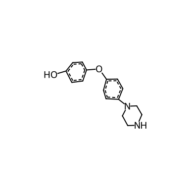 Oc1ccc(Oc2ccc(N3CCNCC3)cc2)cc1